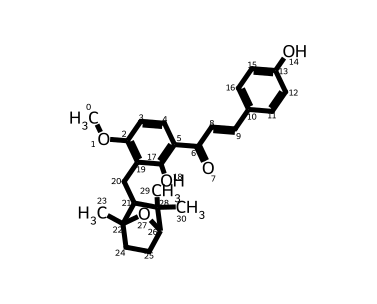 COc1ccc(C(=O)C=Cc2ccc(O)cc2)c(O)c1CC1C2(C)CCC(O2)C1(C)C